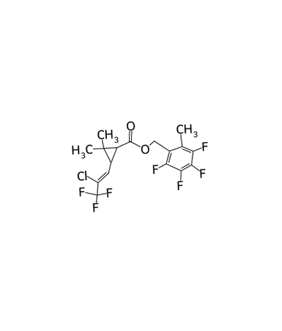 Cc1c(F)c(F)c(F)c(F)c1COC(=O)C1C(C=C(Cl)C(F)(F)F)C1(C)C